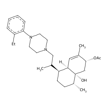 CCc1ccccc1N1CCN(CC(C)[C@@H]2CC[C@@H](C)[C@]3(O)[CH][C@@H](OC(C)=O)C(C)=C[C@H]23)CC1